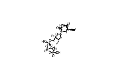 C#Cc1cn([C@H]2C[C@H](F)[C@@](F)(COP(=O)(O)OP(=O)(O)OP(=O)(O)O)O2)c(=O)[nH]c1=O